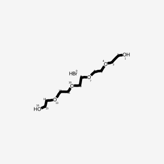 Br.OCCOCCOCCOCCOCCO